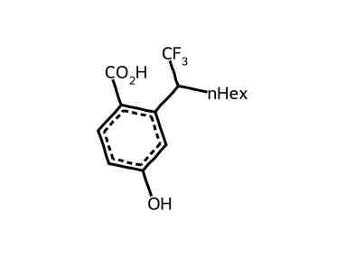 CCCCCCC(c1cc(O)ccc1C(=O)O)C(F)(F)F